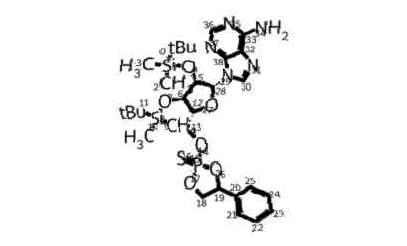 CC(C)(C)[Si](C)(C)O[C@@H]1[C@H](O[Si](C)(C)C(C)(C)C)[C@@H](COP2(=S)OCC(c3ccccc3)O2)O[C@H]1n1cnc2c(N)ncnc21